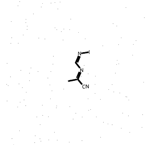 C/C(C#N)=N\C=N/I